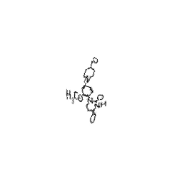 COc1cc(N2CCC(C=O)CC2)ccc1N1CCC(=O)NC1=O